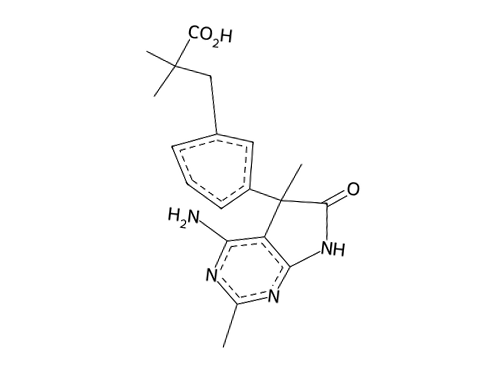 Cc1nc(N)c2c(n1)NC(=O)C2(C)c1cccc(CC(C)(C)C(=O)O)c1